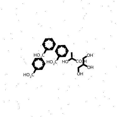 CC(O)C(=O)O.O=C(O)c1ccccc1.O=C(O)c1ccccc1.O=C(O)c1ccccc1.OCC(O)CO